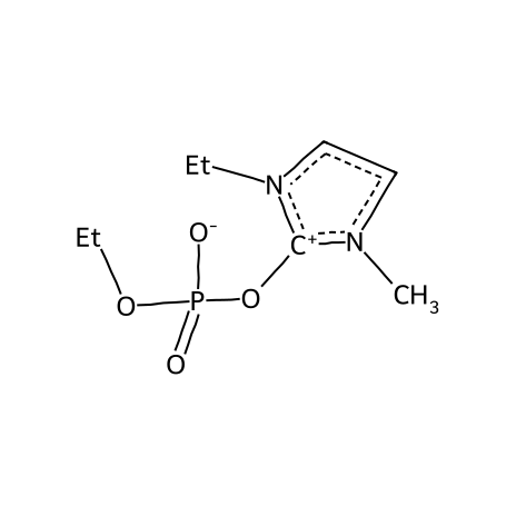 CCOP(=O)([O-])O[c+]1n(C)ccn1CC